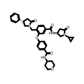 O=C(NC1CCOCC1)c1ccc(Oc2cc(C(=O)N[C@H]3CC(=O)N(C4CC4)C3)ccc2CN2C[C@H](c3ccccc3)CC2=O)cc1